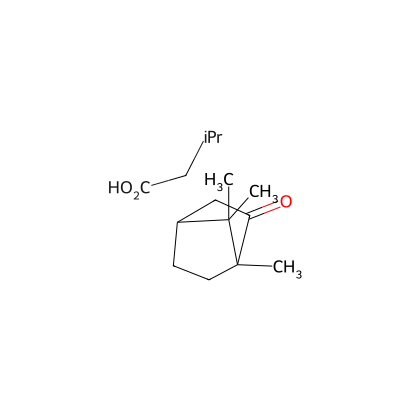 CC(C)CC(=O)O.CC12CCC(CC1=O)C2(C)C